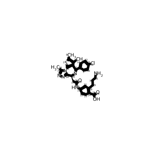 Cc1sc2c(c1C)C(c1ccc(Cl)cc1)=N[C@@H](CC(=O)Nc1ccc(C(=O)O)c(CCCN)c1)c1nnc(C)n1-2